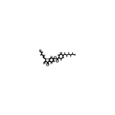 CCCCCCC1CCC(C(=O)Oc2ccc(C(=O)C(C)CCCCCC)cc2)CC1